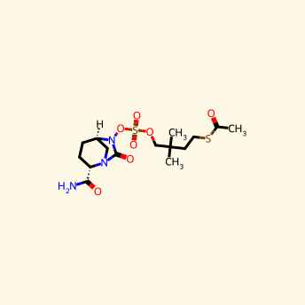 CC(=O)SCCC(C)(C)COS(=O)(=O)ON1C(=O)N2C[C@H]1CC[C@H]2C(N)=O